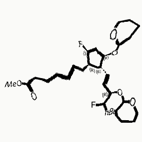 CCCCC(F)[C@@H](C=C[C@@H]1[C@@H](CC=CCCCC(=O)OC)[C@@H](F)C[C@H]1OC1CCCCO1)OC1CCCCO1